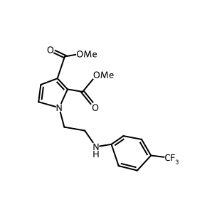 COC(=O)c1ccn(CCNc2ccc(C(F)(F)F)cc2)c1C(=O)OC